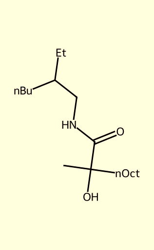 CCCCCCCCC(C)(O)C(=O)NCC(CC)CCCC